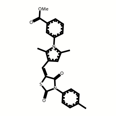 COC(=O)c1cccc(-n2c(C)cc(C=C3SC(=O)N(c4ccc(C)cc4)C3=O)c2C)c1